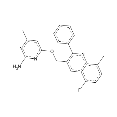 Cc1cc(OCc2cc3c(F)ccc(C)c3nc2-c2ccccc2)nc(N)n1